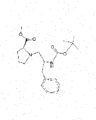 COC(=O)[C@@H]1CCCN1CC(Cc1ccccc1)NC(=O)OC(C)(C)C